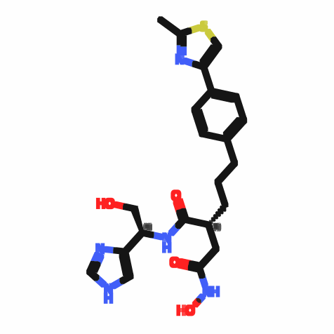 Cc1nc(-c2ccc(CCC[C@H](CC(=O)NO)C(=O)N[C@H](CO)c3c[nH]cn3)cc2)cs1